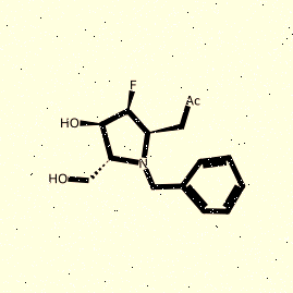 CC(=O)C[C@@H]1[C@H](F)[C@H](O)[C@@H](CO)N1Cc1ccccc1